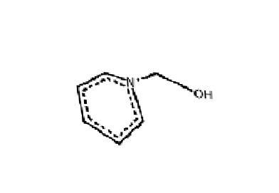 OC[n+]1ccccc1